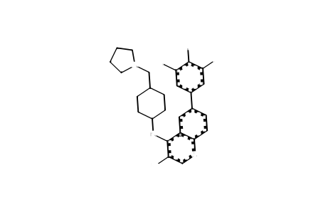 CC(=O)c1cnc2ccc(-c3cc(F)c(O)c(Cl)c3)cc2c1NC1CCC(CN2CCCC2)CC1